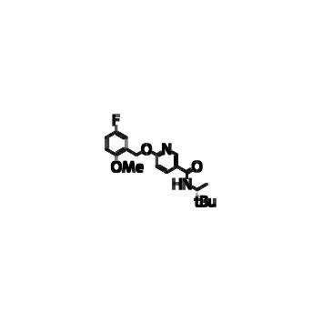 COc1ccc(F)cc1COc1ccc(C(=O)N[C@H](C)C(C)(C)C)cn1